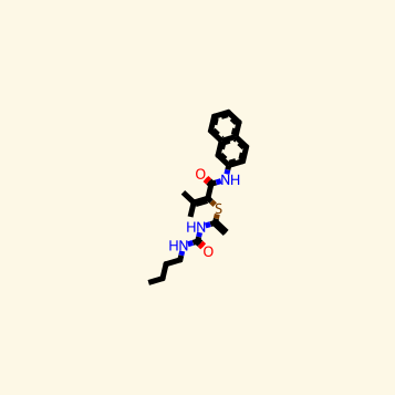 C=C(NC(=O)NCCCC)SC(C(=O)Nc1ccc2ccccc2c1)=C(C)C